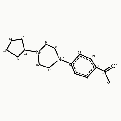 CC(=O)c1ccc(N2CCN(C3CCCC3)CC2)cc1